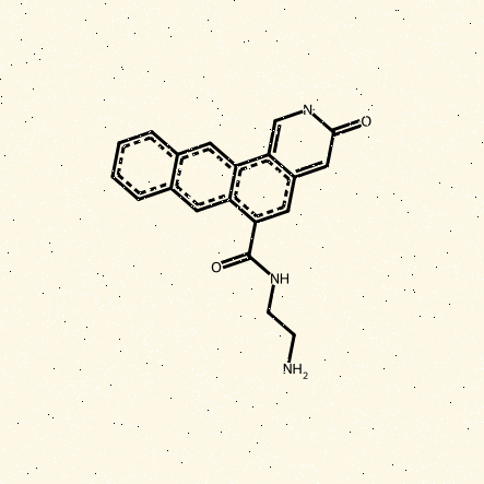 NCCNC(=O)c1cc2c(c3cc4ccccc4cc13)=C[N]C(=O)C=2